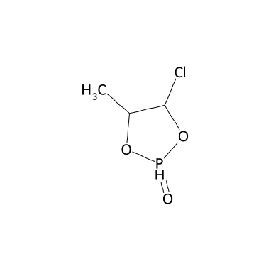 CC1O[PH](=O)OC1Cl